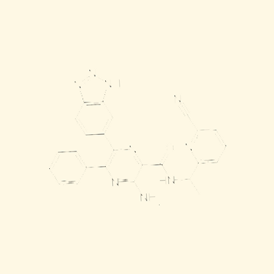 CC(NC(=O)c1nc(-c2ccc3nn[nH]c3c2)c(-c2ccccc2)nc1N)c1cccc(C#N)n1